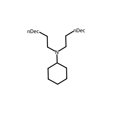 CCCCCCCCCCCCN(CCCCCCCCCCCC)C1CCCCC1